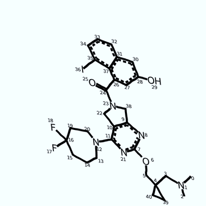 CN(C)CC1(COc2nc3c(c(N4CCCC(F)(F)CC4)n2)CN(C(=O)c2cc(O)cc4cccc(I)c24)C3)CC1